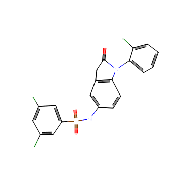 O=C1Cc2cc(NS(=O)(=O)c3cc(Cl)cc(Cl)c3)ccc2N1c1ccccc1Cl